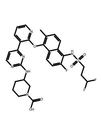 Cc1ccc2c(NS(=O)(=O)CCC(F)F)c(F)ccc2c1Oc1ncccc1-c1ccnc(NC2CCCN(C(=O)O)C2)n1